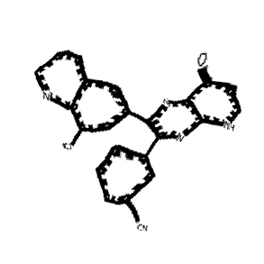 N#Cc1cccc(-c2nc3[nH]ccc(=O)c3nc2-c2cc(Cl)c3ncccc3c2)c1